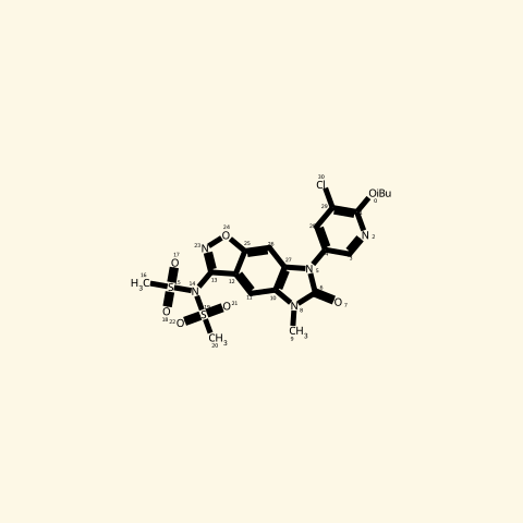 CC(C)COc1ncc(-n2c(=O)n(C)c3cc4c(N(S(C)(=O)=O)S(C)(=O)=O)noc4cc32)cc1Cl